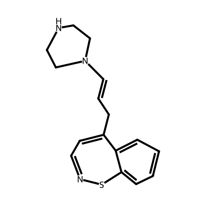 C(=CN1CCNCC1)CC1=CC=NSc2ccccc21